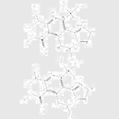 COC(=O)c1c(C(F)F)nc(C(F)(F)F)c(C2=NCCS2)c1CC(C)C.COC(=O)c1c(C(F)F)nc(C(F)(F)F)c(C2=NCCS2)c1CC(C)C